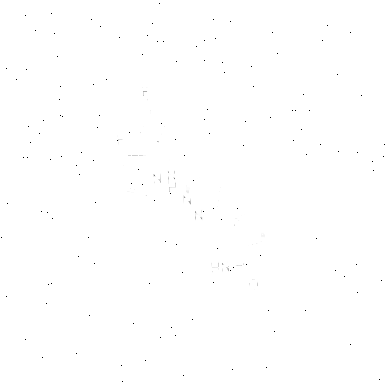 O=C1NCc2c1cccc2-c1ccc(NCC2(c3ncccc3F)CC(F)C2)nn1